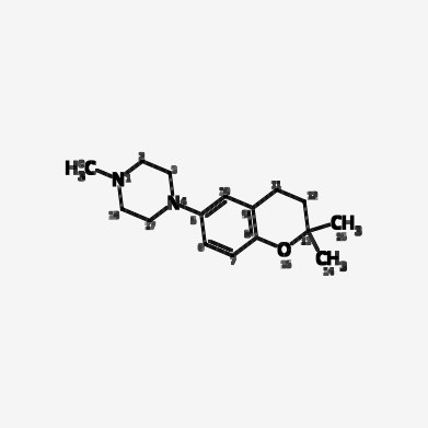 CN1CCN(c2ccc3c(c2)CCC(C)(C)O3)CC1